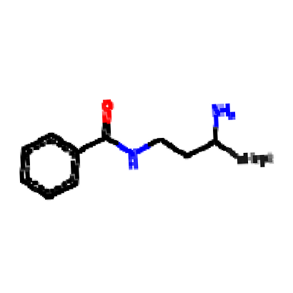 CCCCCCCC(N)CCNC(=O)c1ccccc1